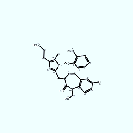 COc1cccc([C@H]2O[C@H](Cc3nc(CCC(=O)O)c(C)o3)C(=O)N(CC(C)(C)C)c3ccc(Cl)cc32)c1OC